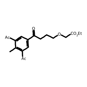 CCOC(=O)COCCCC(=O)c1cc(C(C)=O)c(C)c(C(C)=O)c1